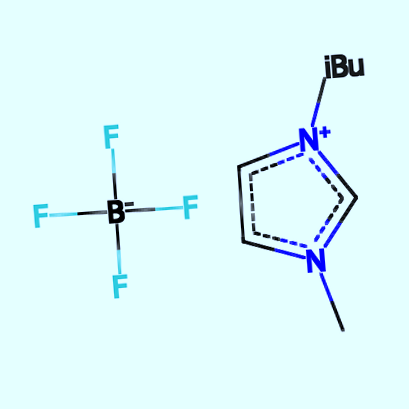 CCC(C)[n+]1ccn(C)c1.F[B-](F)(F)F